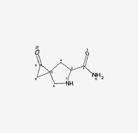 NC(=O)C1CC2(CN1)CC2=O